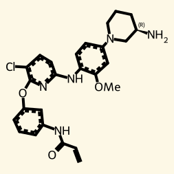 C=CC(=O)Nc1cccc(Oc2nc(Nc3ccc(N4CCC[C@@H](N)C4)cc3OC)ccc2Cl)c1